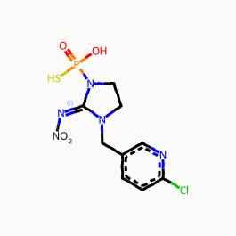 O=[N+]([O-])/N=C1\N(Cc2ccc(Cl)nc2)CCN1P(=O)(O)S